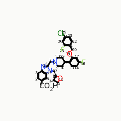 O=C(O)c1ccc2nc(CN3CCC(c4ccc(F)cc4OCc4ccc(Cl)cc4F)CC3)n(C[C@@H]3CCO3)c2c1